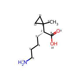 CC1([C@@H](CCCCN)C(=O)O)CC1